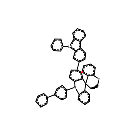 c1ccc(-c2ccc(N3c4ccccc4C4(c5ccccc5Oc5ccccc54)c4cc(-c5ccc6c7ccccc7n(-c7ccccc7)c6c5)ccc43)cc2)cc1